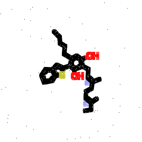 CCCCCc1cc(O)c(C/C=C(\C)CC/C=C(\C)CC)c(O)c1-c1cc2ccccc2s1